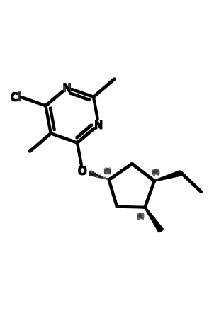 CC[C@@H]1C[C@@H](Oc2nc(C)nc(Cl)c2C)C[C@@H]1C